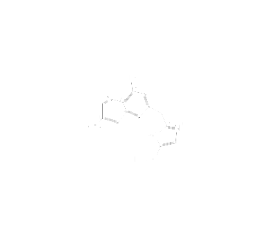 O=C(O)c1cnc(Cc2cc(F)c3ncc(Cl)cc3c2)o1